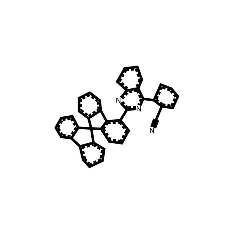 N#Cc1ccccc1-c1nc(-c2cccc3c2-c2ccccc2C32c3ccccc3-c3ccccc32)nc2ccccc12